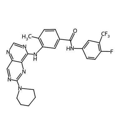 Cc1ccc(C(=O)Nc2ccc(F)c(C(F)(F)F)c2)cc1Nc1ncnc2cnc(N3CCCCC3)nc12